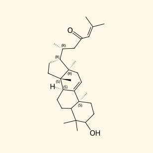 CC(C)=CC(=O)C[C@@H](C)[C@H]1CC[C@@]2(C)[C@@H]3CCC4C(C)(C)C(O)CC[C@]4(C)C3=CC[C@]12C